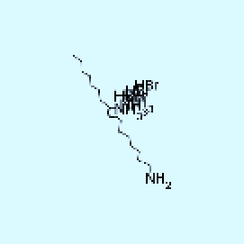 Br.Br.Br.Br.CCCCCCCCCCCCCCCCN.N.N.N